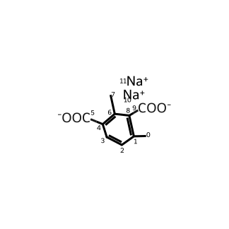 Cc1ccc(C(=O)[O-])c(C)c1C(=O)[O-].[Na+].[Na+]